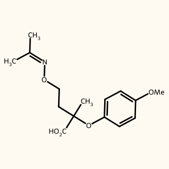 COc1ccc(OC(C)(CCON=C(C)C)C(=O)O)cc1